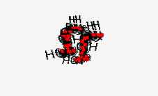 CCC(CC)NC(=O)Nc1ccc(Oc2ccc(NC(=O)c3ccc(-n4cc(CN5CCC(O)CC5)c5ccccc54)cc3)cc2)c(F)c1.CCC(CC)NC(=O)Nc1ccc(Oc2ccc(NC(=O)c3ccc(-n4cc(CN5CCC(O)CC5)c5ccccc54)cc3)cc2)cc1F